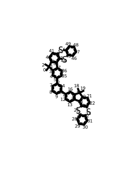 CC1(C)c2cc(-c3cccc(-c4ccc5c(c4)C(C)(C)c4ccc6c(c4-5)Sc4ccccc4S6)c3)ccc2-c2c1ccc1c2Sc2ccccc2S1